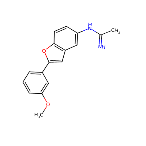 COc1cccc(-c2cc3cc(NC(C)=N)ccc3o2)c1